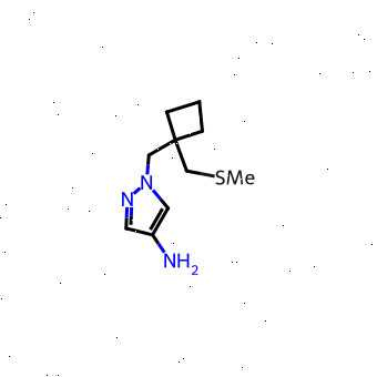 CSCC1(Cn2cc(N)cn2)CCC1